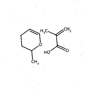 C=C(C)C(=O)O.CC1CCC=CO1